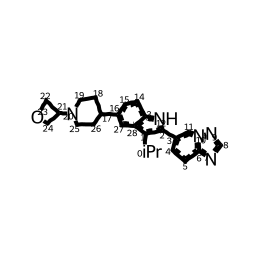 CC(C)c1c(-c2ccc3ncnn3c2)[nH]c2ccc(C3CCN(C4COC4)CC3)cc12